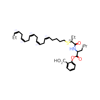 CC/C=C\C/C=C\C/C=C\C/C=C\C/C=C\CCCCS[C@@H](CC)C(=O)NC(CC(C)C)C(=O)Oc1ccccc1C(=O)O